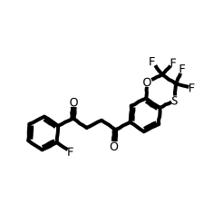 O=C(CCC(=O)c1ccccc1F)c1ccc2c(c1)OC(F)(F)C(F)(F)S2